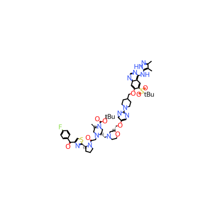 Cc1n[nH]c(Nc2ncnc3cc(OCC4CCN(c5ncc(OC[C@H]6CN(C[C@H]7CN(C(=O)OC(C)(C)C)[C@H](C)CN7CC(=O)N7CCC[C@H]7c7nc(C(=O)c8ccc(F)cc8)cs7)CCO6)cn5)CC4)c(S(=O)(=O)C(C)(C)C)cc23)c1C